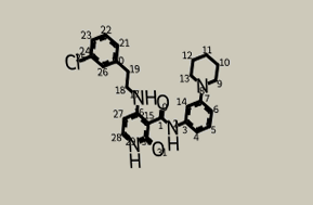 O=C(Nc1cccc(N2CCCCC2)c1)c1c(NCCc2cccc(Cl)c2)cc[nH]c1=O